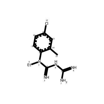 CCN(C(=N)NC(=N)N)c1ccc(Cl)cc1C